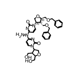 NN(c1ccn(C2COC(CO)C2CO)c(=O)n1)c1ccn([C@H]2CO[C@@H](COCc3ccccc3)[C@@H]2COCc2ccccc2)c(=O)n1